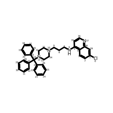 Clc1ccc2c(NCCCN3CCN(C(c4ccccc4)(c4ccccc4)c4ccccc4)CC3)ccnc2c1